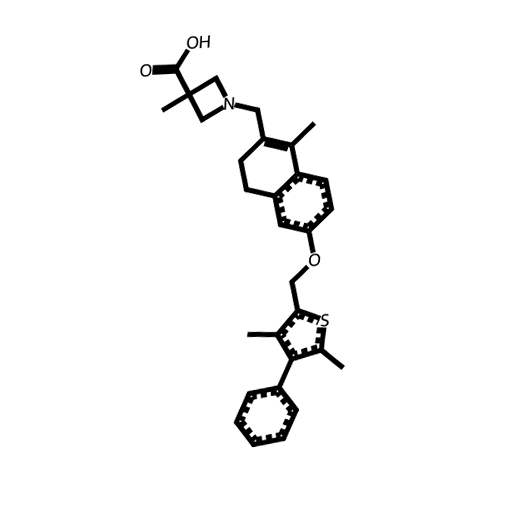 CC1=C(CN2CC(C)(C(=O)O)C2)CCc2cc(OCc3sc(C)c(-c4ccccc4)c3C)ccc21